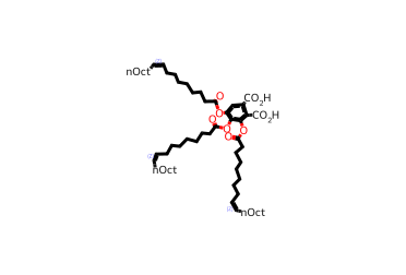 CCCCCCCC/C=C\CCCCCCCC(=O)Oc1cc(C(=O)O)c(C(=O)O)c(OC(=O)CCCCCCC/C=C\CCCCCCCC)c1OC(=O)CCCCCCC/C=C\CCCCCCCC